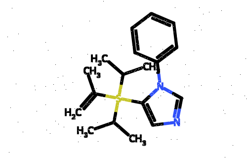 C=C(C)S(c1cncn1-c1ccccc1)(C(C)C)C(C)C